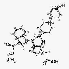 CCOC(=O)c1nn(-c2nc(N3CCN(c4ccc(O)cc4)CC3)nc3c2ncn3CC(=O)O)c2ccccc12